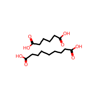 O=C(O)CCCCC(=O)O.O=C(O)CCCCCCCC(=O)O